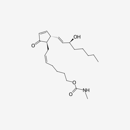 CCCCC[C@H](O)/C=C/[C@H]1C=CC(=O)[C@@H]1C/C=C\CCCCOC(=O)NC